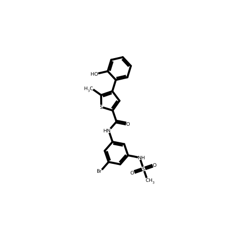 Cc1sc(C(=O)Nc2cc(Br)cc(NS(C)(=O)=O)c2)cc1-c1ccccc1O